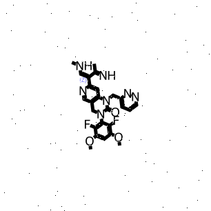 CN/C=C(\C(C)=N)c1cc2c(cn1)CN(c1c(F)c(OC)cc(OC)c1F)C(=O)N2Cc1cccnn1